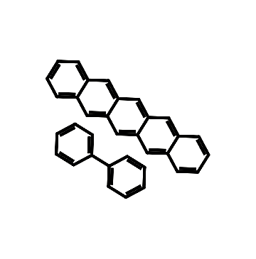 c1ccc(-c2ccccc2)cc1.c1ccc2cc3cc4cc5ccccc5cc4cc3cc2c1